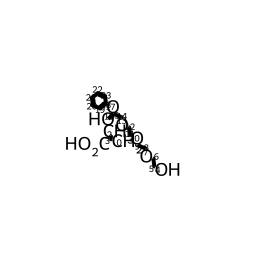 C=C(C)C(=O)O.OCCOCCOCCOCC(O)Oc1ccccc1